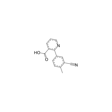 Cc1ccc(-c2ncccc2C(=O)O)cc1C#N